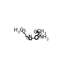 COCCCn1ccc(-c2ccc(N)c(S(C)(=O)=O)c2)n1